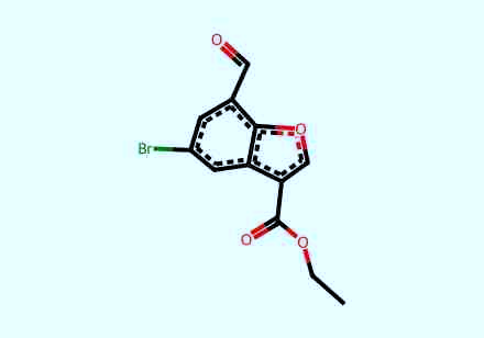 CCOC(=O)c1coc2c(C=O)cc(Br)cc12